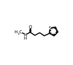 CNC(=O)CCCc1cccs1